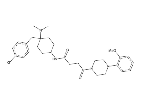 COc1ccccc1N1CCN(C(=O)CCC(=O)NC2CCC(Cc3ccc(Cl)cc3)(N(C)C)CC2)CC1